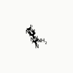 N#Cc1cnc(-c2ccn3c(I)cnc3c2)nc1N